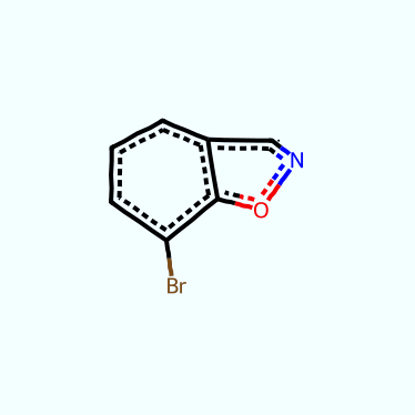 Brc1cccc2[c]noc12